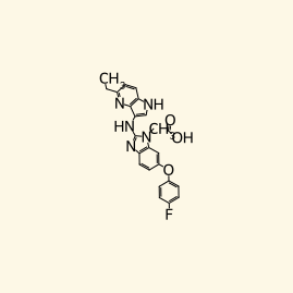 CCc1ccc2[nH]cc(Nc3nc4ccc(Oc5ccc(F)cc5)cc4n3C)c2n1.O=CO